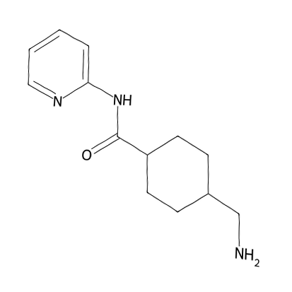 NCC1CCC(C(=O)Nc2ccccn2)CC1